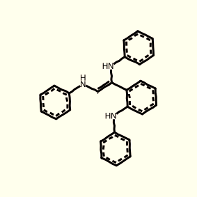 [C](Nc1ccccc1)=C(Nc1ccccc1)c1ccccc1Nc1ccccc1